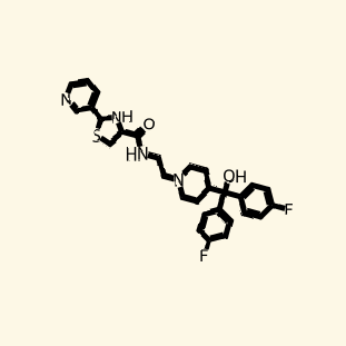 O=C(NCCN1CCC(C(O)(c2ccc(F)cc2)c2ccc(F)cc2)CC1)C1CSC(c2cccnc2)N1